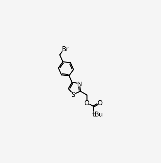 CC(C)(C)C(=O)OCc1nc(-c2ccc(CBr)cc2)cs1